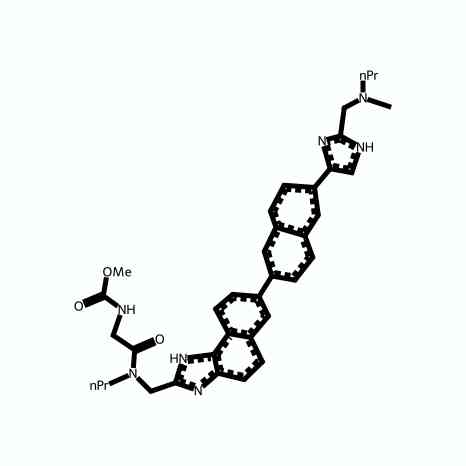 CCCN(C)Cc1nc(-c2ccc3cc(-c4ccc5c(ccc6nc(CN(CCC)C(=O)CNC(=O)OC)[nH]c65)c4)ccc3c2)c[nH]1